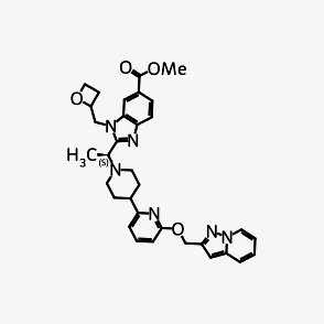 COC(=O)c1ccc2nc([C@H](C)N3CCC(c4cccc(OCc5cc6ccccn6n5)n4)CC3)n(CC3CCO3)c2c1